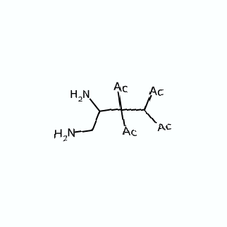 CC(=O)C(C(C)=O)C(C(C)=O)(C(C)=O)C(N)CN